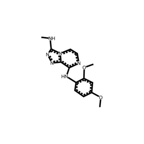 CNc1nnc2c(Nc3ccc(OC)cc3OC)nccn12